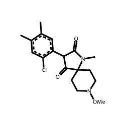 CON1CCC2(CC1)C(=O)C(c1cc(C)c(C)cc1Cl)C(=O)N2C